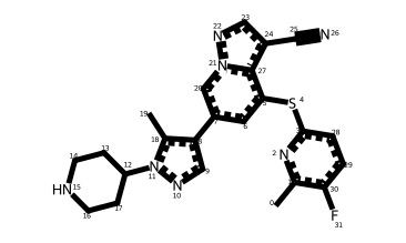 Cc1nc(Sc2cc(-c3cnn(C4CCNCC4)c3C)cn3ncc(C#N)c23)ccc1F